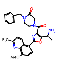 COc1ccc(-c2nc(C(=O)N3CCN(Cc4ccccc4)C(=O)C3)c([C@H](C)N)o2)c2ccc(C(F)(F)F)nc12